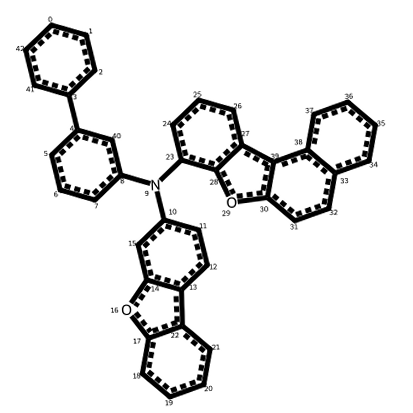 c1ccc(-c2cccc(N(c3ccc4c(c3)oc3ccccc34)c3cccc4c3oc3ccc5ccccc5c34)c2)cc1